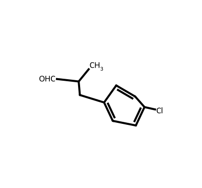 CC(C=O)Cc1ccc(Cl)cc1